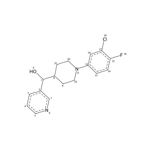 OC(c1cccnc1)C1CCN(c2ccc(F)c(Cl)c2)CC1